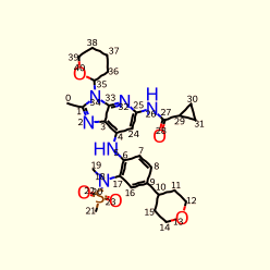 Cc1nc2c(Nc3ccc(C4CCOCC4)cc3N(C)S(C)(=O)=O)cc(NC(=O)C3CC3)nc2n1C1CCCCO1